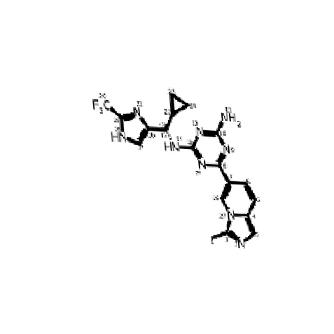 Cc1ncc2ccc(-c3nc(N)nc(N[C@H](c4c[nH]c(C(F)(F)F)n4)C4CC4)n3)cn12